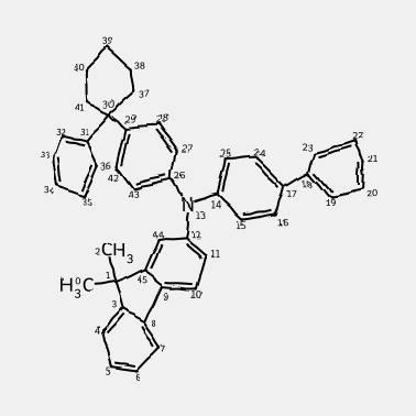 CC1(C)c2ccccc2-c2ccc(N(c3ccc(-c4ccccc4)cc3)c3ccc(C4(c5ccccc5)CCCCC4)cc3)cc21